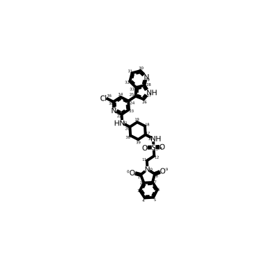 O=C1c2ccccc2C(=O)N1CCS(=O)(=O)NC1CCC(Nc2cc(-c3c[nH]c4ncccc34)cc(Cl)n2)CC1